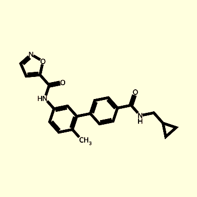 Cc1ccc(NC(=O)c2ccno2)cc1-c1ccc(C(=O)NCC2CC2)cc1